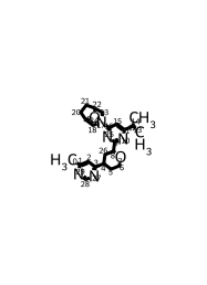 Cc1cc(C2CCOC(c3nc(C(C)C)cc(N4CC5CCC(C4)O5)n3)C2)ncn1